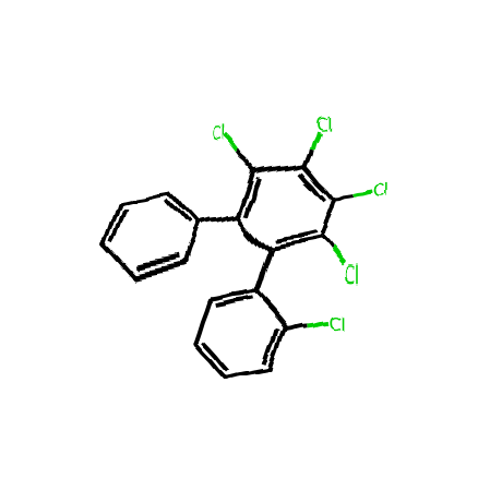 Clc1ccccc1-c1c(Cl)c(Cl)c(Cl)c(Cl)c1-c1ccccc1